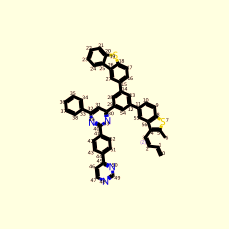 C=C/C=C\c1c(C)sc2ccc(-c3cc(-c4ccc5sc6ccccc6c5c4)cc(-c4cc(-c5ccccc5)nc(-c5ccc(-c6ccncn6)cc5)n4)c3)cc12